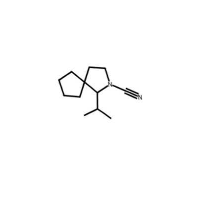 CC(C)C1N(C#N)CCC12CCCC2